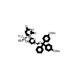 COc1ccc(C(OC[C@H]2[CH][C@@H](O[Si](C)(C)C(C)(C)C)[C@H](n3ccc(=O)[nH]c3=O)O2)(c2ccccc2)c2ccc(OC)cc2)cc1